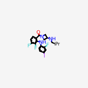 CC(C)CNC1CN(C(=O)c2ccc(F)c(F)c2Nc2ccc(I)cc2F)C1